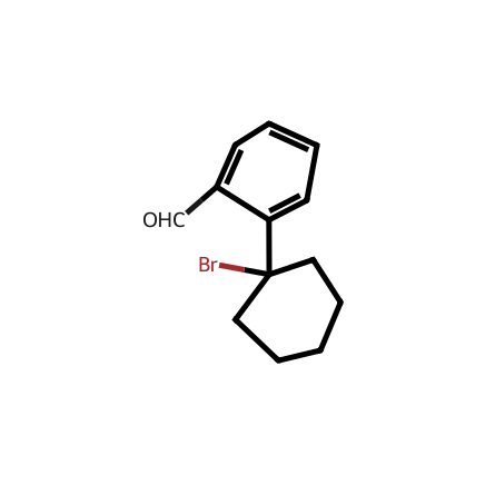 O=Cc1ccccc1C1(Br)CCCCC1